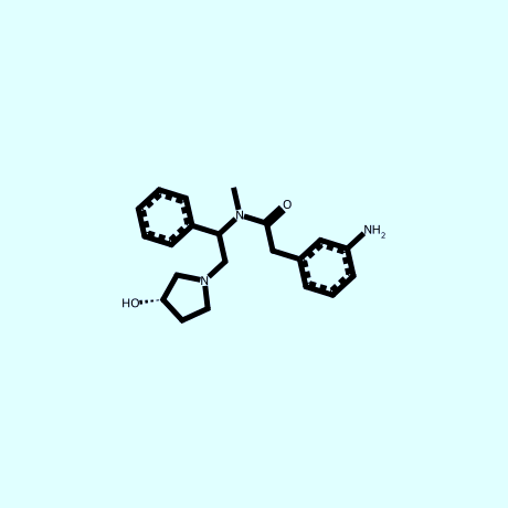 CN(C(=O)Cc1cccc(N)c1)C(CN1CC[C@H](O)C1)c1ccccc1